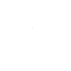 CCN(CC(=O)O)S(=O)(=O)CCC(CC(CC(F)(C(F)(F)F)C(F)(F)F)C(F)(F)F)C(F)(F)F